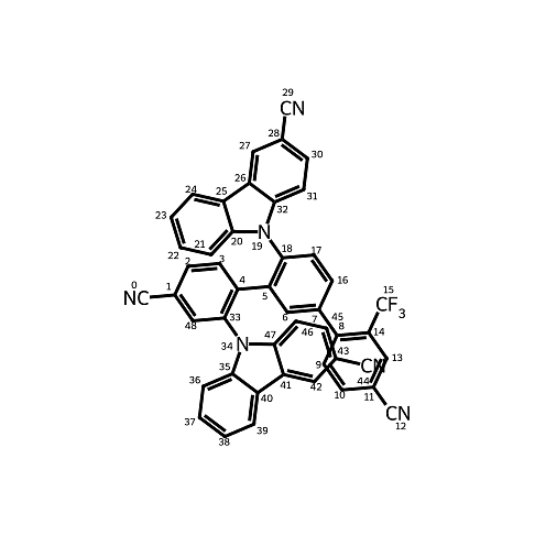 N#Cc1ccc(-c2cc(-c3ccc(C#N)cc3C(F)(F)F)ccc2-n2c3ccccc3c3cc(C#N)ccc32)c(-n2c3ccccc3c3cc(C#N)ccc32)c1